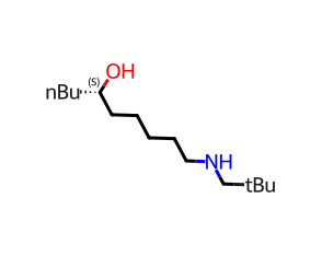 CCCC[C@H](O)CCCCCNCC(C)(C)C